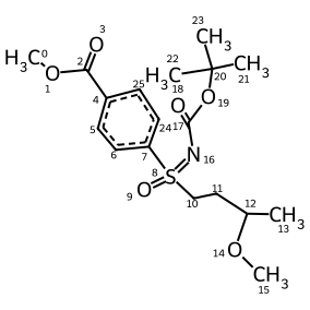 COC(=O)c1ccc(S(=O)(CCC(C)OC)=NC(=O)OC(C)(C)C)cc1